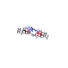 CC(C)(C)OC(=O)NCCc1c[nH]c(C(=O)OC(C)(C)C)n1